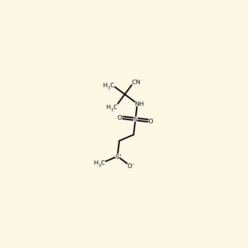 C[S+]([O-])CCS(=O)(=O)NC(C)(C)C#N